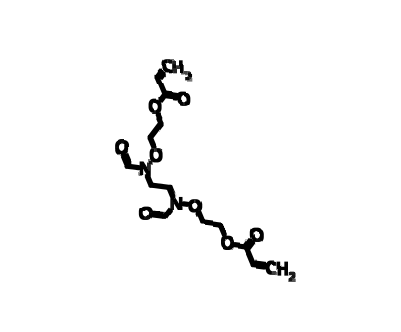 C=CC(=O)OCCON(C=O)CCN(C=O)OCCOC(=O)C=C